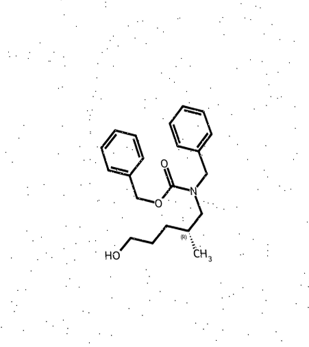 C[C@H](CCCO)CN(Cc1ccccc1)C(=O)OCc1ccccc1